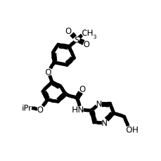 CC(C)Oc1cc(Oc2ccc(S(C)(=O)=O)cc2)cc(C(=O)Nc2cnc(CO)cn2)c1